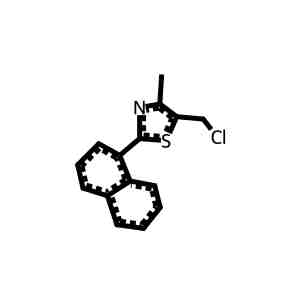 Cc1nc(-c2cccc3ccccc23)sc1CCl